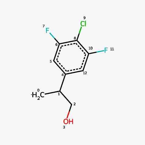 [CH2]C(CO)c1cc(F)c(Cl)c(F)c1